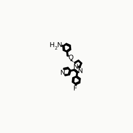 Nc1cccc(COC[C@@H]2CCc3nc(-c4ccc(F)cc4)c(-c4ccncc4)n32)c1